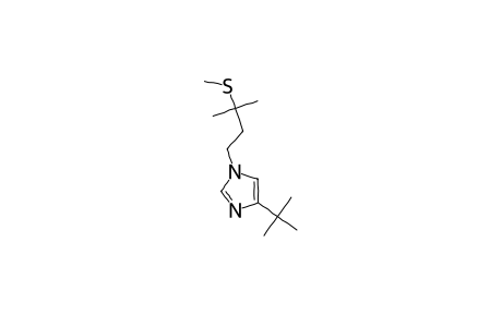 CSC(C)(C)CCn1cnc(C(C)(C)C)c1